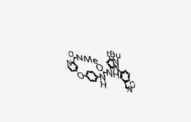 CNC(=O)c1cc(Oc2ccc(NC(=O)Nc3cc(C(C)(C)C)nn3-c3ccc4oncc4c3)cc2)ccn1